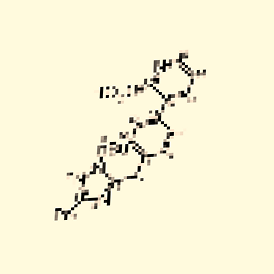 CCCCn1nc(C(C)C)nc1Cc1ccc(-c2cccnc2C(=O)O)cc1